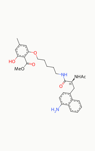 COC(=O)c1c(O)cc(C)cc1OCCCCCNC(=O)[C@H](Cc1ccc(N)c2ccccc12)NC(C)=O